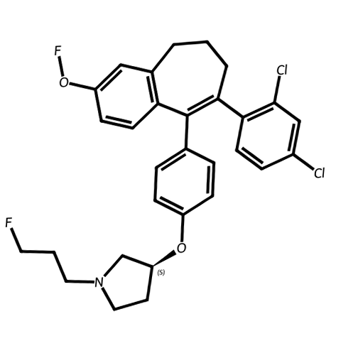 FCCCN1CC[C@H](Oc2ccc(C3=C(c4ccc(Cl)cc4Cl)CCCc4cc(OF)ccc43)cc2)C1